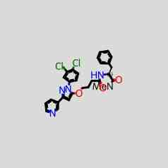 CNC(=O)[C@H](Cc1ccccc1)NC(=O)CCCOc1cc(-c2cccnc2)nn1-c1ccc(Cl)c(Cl)c1